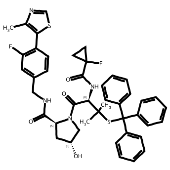 Cc1ncsc1-c1ccc(CNC(=O)[C@@H]2C[C@@H](O)CN2C(=O)[C@@H](NC(=O)C2(F)CC2)C(C)(C)SC(c2ccccc2)(c2ccccc2)c2ccccc2)cc1F